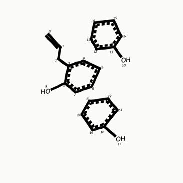 C=CCc1ccccc1O.Oc1ccccc1.Oc1ccccc1